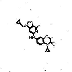 Cc1nc(Nc2ccc3c(c2)OCC(=O)N3C2CC2)cc2c1ncn2CC1CC1